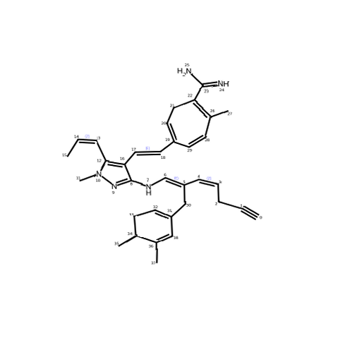 C#CC/C=C\C(=C\Nc1nn(C)c(/C=C\C)c1/C=C/C1=CCC(C(=N)N)=C(C)C=C1)CC1=CCC(C)C(C)=C1